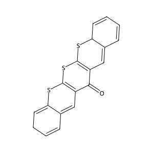 O=c1c2c(sc3c1C=C1C=CC=CC1S3)SC1=CCC=CC1=C2